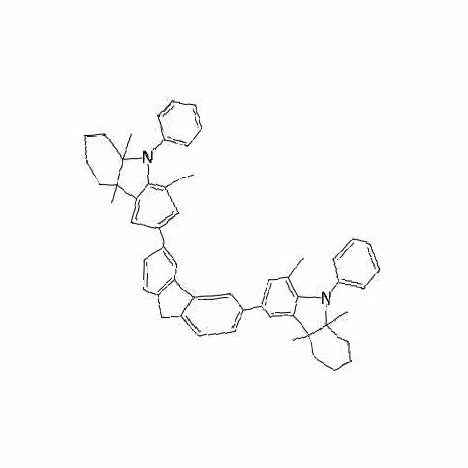 Cc1cc(-c2ccc3c(c2)-c2cc(-c4cc(C)c5c(c4)C4(C)CCCCC4(C)N5c4ccccc4)ccc2C3)cc2c1N(c1ccccc1)C1(C)CCCCC21C